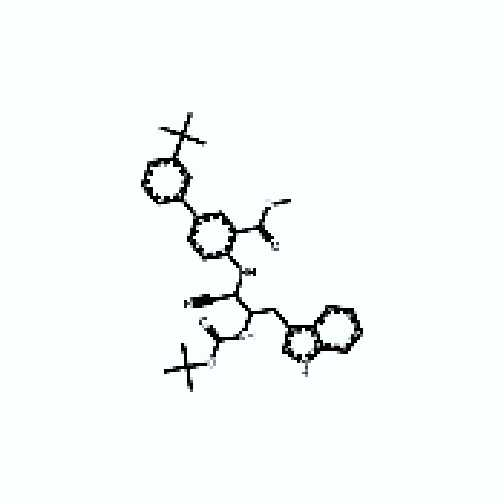 COC(=O)c1cc(-c2cccc(C(C)(C)C)c2)ccc1NC(C#N)C(Cc1c[nH]c2ccccc12)NC(=O)OC(C)(C)C